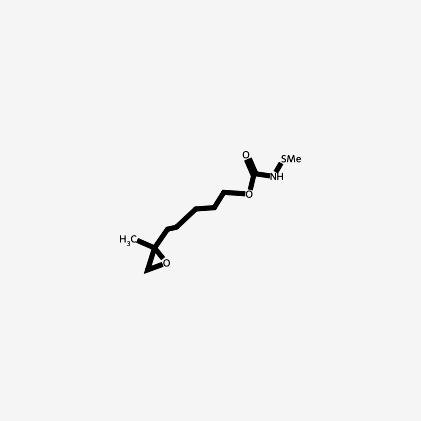 CSNC(=O)OCCCCCC1(C)CO1